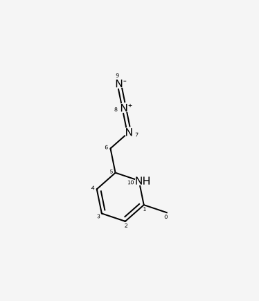 CC1=CC=CC(CN=[N+]=[N-])N1